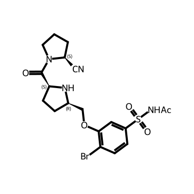 CC(=O)NS(=O)(=O)c1ccc(Br)c(OC[C@H]2CC[C@@H](C(=O)N3CCC[C@H]3C#N)N2)c1